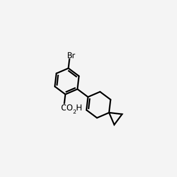 O=C(O)c1ccc(Br)cc1C1=CCC2(CC1)CC2